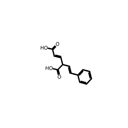 O=C(O)C=CC(C=Cc1ccccc1)C(=O)O